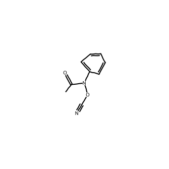 CC(=O)N(OC#N)c1ccccc1